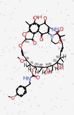 COc1ccc(CNC(=O)O[C@H]2[C@H](C)[C@H](O)[C@H](C)[C@@H](O)[C@@H](C)/C=C/C=C(/C)C(=O)NC3=C(N4CCOCC4)C(=O)c4c(c(O)c(C)c5c4C(=O)[C@@](C)(O/C=C/[C@H](OC)[C@H]2C)O5)C3=O)cc1